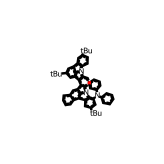 CC(C)(C)c1ccc2c(c1)c1cc(C(C)(C)C)cc3c4c5c6cc7ccccc7c7c8cc(C(C)(C)C)cc(N(c9ccccc9)c9ccccc9)c8n(c5ncc4n2c13)c67